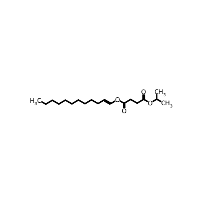 CCCCCCCCCC/C=C/OC(=O)CCC(=O)OC(C)C